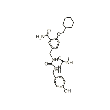 CNC(=O)N[C@@H](Cc1ccc(O)cc1)C(=O)NCc1ccc(OCC2CCCCC2)c(C(N)=O)c1